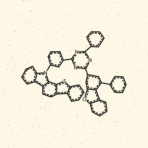 c1ccc(-c2nc(-c3cccc(-n4c5ccccc5c5ccc6c7ccccc7sc6c54)c3)nc(-c3cc(-c4ccccc4)c4c(c3)oc3ccccc34)n2)cc1